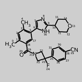 Cc1cc(C)c(-c2cnc(C3CCOCC3)[nH]2)cc1C(=O)N1CC(F)(c2ccc(C#N)cc2)C1